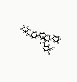 Fc1ccc(Nc2nc(-c3cccnc3)nc3ccc(-c4ccc(CN5CCOCC5)cc4)cc23)cc1Cl